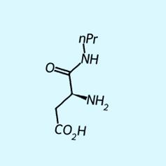 CCCNC(=O)[C@@H](N)CC(=O)O